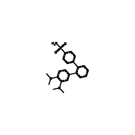 CN(C)c1ccc(-c2ccccc2-c2ccc(S(N)(=O)=O)cc2)cc1N(C)C